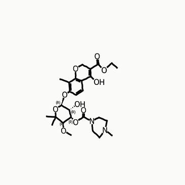 CCOC(=O)C1=C(O)c2ccc(O[C@@H]3OC(C)(C)[C@H](OC)[C@H](OC(=O)N4CCN(C)CC4)[C@H]3O)c(C)c2OC1